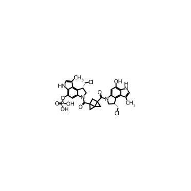 Cc1c[nH]c2c(O)cc3c(c12)[C@H](CCl)CN3C(=O)C12CC3(C(=O)N4C[C@@H](CCl)c5c4cc(OP(=O)(O)O)c4[nH]cc(C)c54)CC13C2